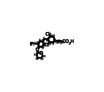 CC(C)c1cc(Cc2c(Cl)cc(C#CC(=O)O)cc2Cl)ccc1OC1CCCCO1